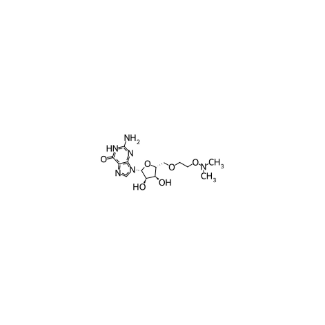 CN(C)OCCOC[C@H]1O[C@@H](n2cnc3c(=O)[nH]c(N)nc32)[C@H](O)[C@@H]1O